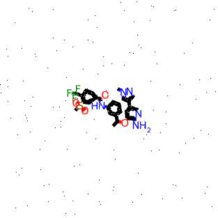 CC(Oc1cc(-c2cnn(C)c2)cnc1N)c1cccc(NC(=O)c2ccc(C(F)(F)F)c(S(C)(=O)=O)c2)c1